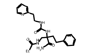 CCC(=O)NCC(CCc1ccccc1)(NC(=O)NCCc1ccccn1)C(N)=O